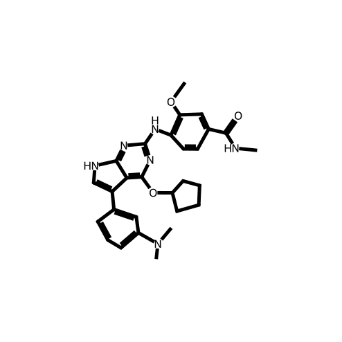 CNC(=O)c1ccc(Nc2nc(OC3CCCC3)c3c(-c4cccc(N(C)C)c4)c[nH]c3n2)c(OC)c1